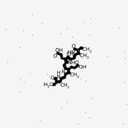 C=CC1=C(C)/C(=C/C2=NC(=Cc3[nH]c(/C=C4\NC(=O)C(C=C)=C4C)c(C)c3CCC(=O)O)C(CCC(=O)O)=C2C)NC1=O